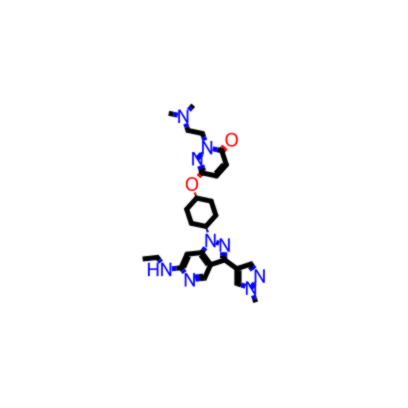 CCNc1cc2c(cn1)c(-c1cnn(C)c1)nn2[C@H]1CC[C@@H](Oc2ccc(=O)n(CCN(C)C)n2)CC1